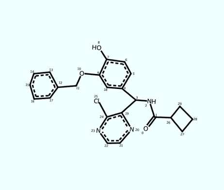 O=C(NC(c1ccc(O)c(OCc2ccccc2)c1)c1nccnc1Cl)C1CCC1